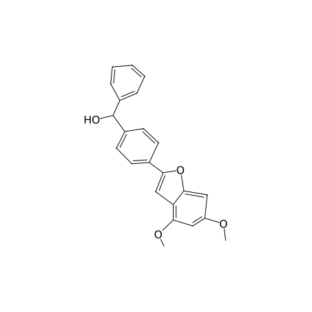 COc1cc(OC)c2cc(-c3ccc(C(O)c4ccccc4)cc3)oc2c1